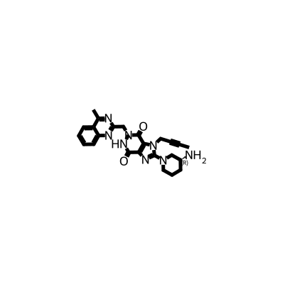 CC#CCn1c(N2CCC[C@@H](N)C2)nc2c(=O)[nH]n(Cc3nc(C)c4ccccc4n3)c(=O)c21